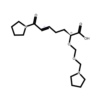 O=C(O)[C@H](CC/C=C/C(=O)N1CCCC1)OCOCN1CCCC1